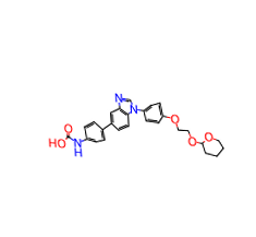 O=C(O)Nc1ccc(-c2ccc3c(c2)ncn3-c2ccc(OCCOC3CCCCO3)cc2)cc1